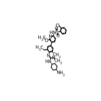 C=N/C(=N\c1c(C)cc(-c2ccc(NS(=O)(=O)c3ccccc3Cl)nc2OC)cc1CC)N[C@H]1CC[C@H](N)CC1